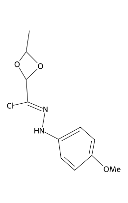 COc1ccc(N/N=C(\Cl)C2OC(C)O2)cc1